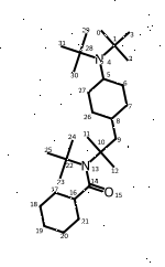 CC(C)(C)N(C1CCC(CC(C)(C)N(C(=O)C2CCCCC2)C(C)(C)C)CC1)C(C)(C)C